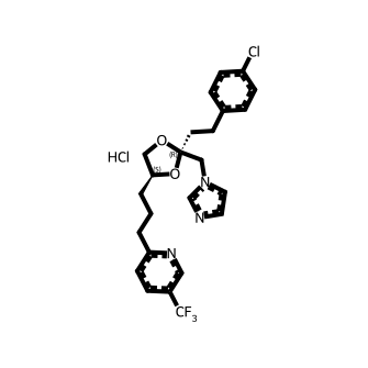 Cl.FC(F)(F)c1ccc(CCC[C@H]2CO[C@@](CCc3ccc(Cl)cc3)(Cn3ccnc3)O2)nc1